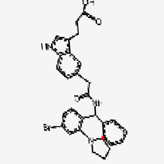 O=C(O)CCc1c[nH]c2ccc(CC(=O)NC(c3ccccc3)c3ccc(Br)cc3N3CCCC3)cc12